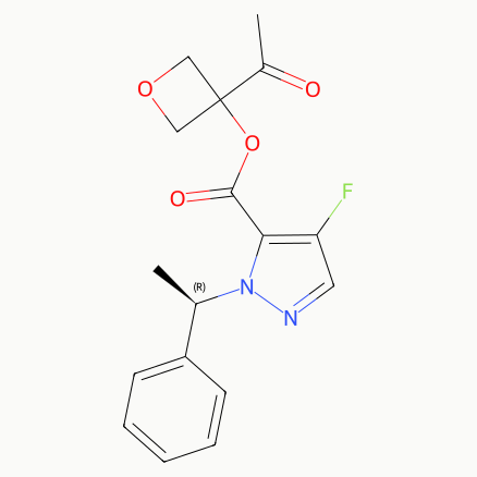 CC(=O)C1(OC(=O)c2c(F)cnn2[C@H](C)c2ccccc2)COC1